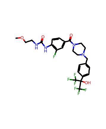 COCCNC(=O)Nc1ccc(C(=O)N2CCN(Cc3ccc(C(O)(C(F)(F)F)C(F)(F)F)cc3)CC2)cc1F